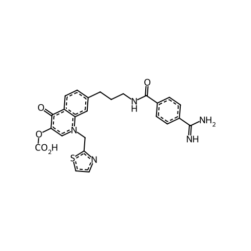 N=C(N)c1ccc(C(=O)NCCCc2ccc3c(=O)c(OC(=O)O)cn(Cc4nccs4)c3c2)cc1